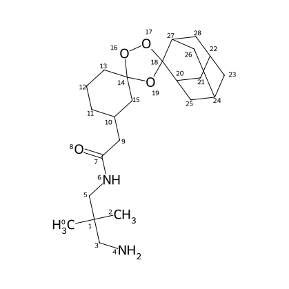 CC(C)(CN)CNC(=O)CC1CCCC2(C1)OOC1(O2)C2CC3CC(C2)CC1C3